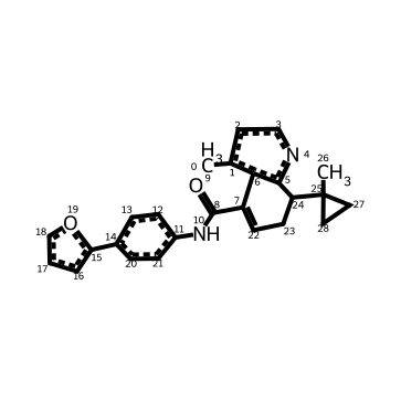 Cc1ccnc2c1C(C(=O)Nc1ccc(-c3ccco3)cc1)=CCC2C1(C)CC1